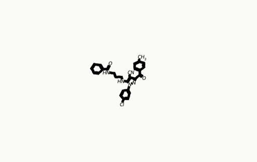 Cc1ccc(C(=O)c2nn(-c3ccc(Cl)cc3)c(NCCCNC(=O)c3ccccc3)c2C#N)cc1